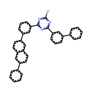 Clc1nc(-c2cccc(-c3ccccc3)c2)nc(-c2cccc(-c3ccc4cc(-c5ccccc5)ccc4c3)c2)n1